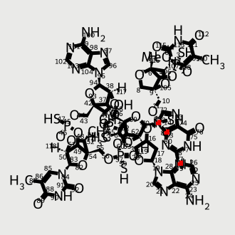 COP(=O)(S)OC1[C@@H]2OC[C@]1(COP(=O)(S)OC1C[C@H](n3cnc4c(N)ncnc43)O[C@@H]1COP(=O)(S)OC1[C@@H]3O[C@@H](C)[C@]1(COP(=O)(S)OC1[C@@H]4O[C@@H](C)[C@]1(COP(=O)(S)OC1[C@@H]5O[C@@H](C)[C@]1(CO)O[C@H]5n1cnc5c(=O)[nH]c(N)nc51)O[C@H]4n1cc(C)c(=O)[nH]c1=O)O[C@H]3n1cnc3c(N)ncnc31)O[C@H]2n1cc(C)c(=O)[nH]c1=O